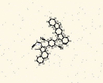 C#C/C=C\c1c(C)c2c3ccccc3ccc2n1-c1cc(C#N)c(-n2c3c#cccc3c3cc4oc5ccccc5c4cc32)cc1C#N